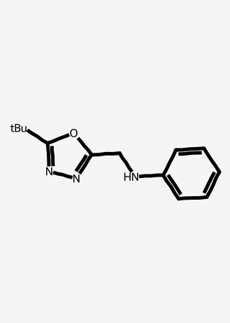 CC(C)(C)c1nnc(CNc2ccccc2)o1